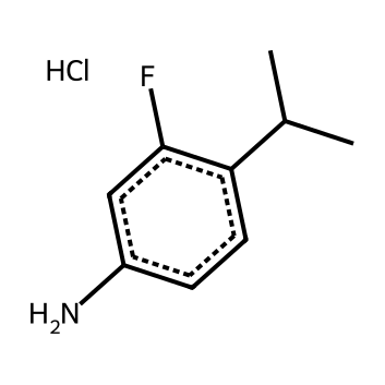 CC(C)c1ccc(N)cc1F.Cl